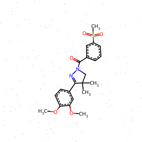 COc1ccc(C2=NN(C(=O)c3cccc(S(C)(=O)=O)c3)CC2(C)C)cc1OC